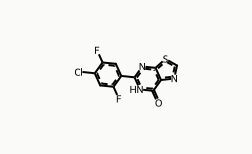 O=c1[nH]c(-c2cc(F)c(Cl)cc2F)nc2scnc12